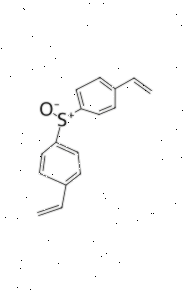 C=Cc1ccc([S+]([O-])c2ccc(C=C)cc2)cc1